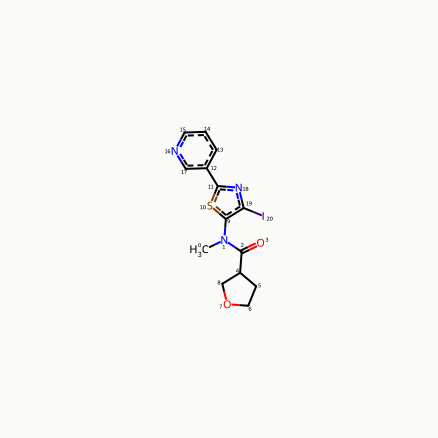 CN(C(=O)C1CCOC1)c1sc(-c2cccnc2)nc1I